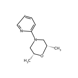 C[C@@H]1CN(c2cc[c]cn2)C[C@H](C)O1